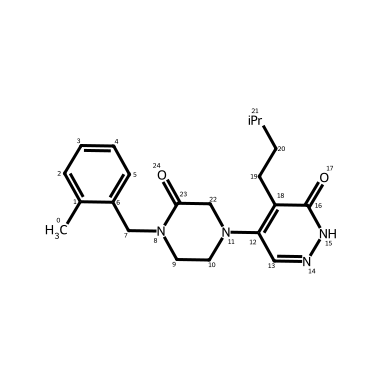 Cc1ccccc1CN1CCN(c2cn[nH]c(=O)c2CCC(C)C)CC1=O